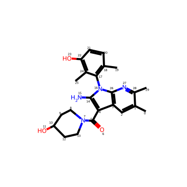 Cc1cc2c(C(=O)N3CCC(O)CC3)c(N)n(-c3c(C)ccc(O)c3C)c2nc1C